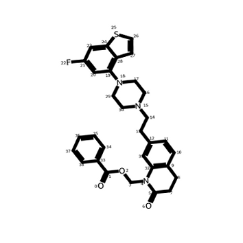 O=C(OCN1C(=O)CCc2ccc(CCN3CCN(c4cc(F)cc5sccc45)CC3)cc21)c1ccccc1